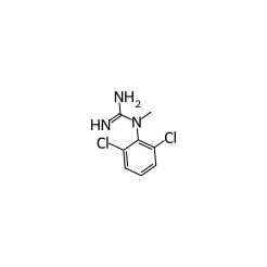 CN(C(=N)N)c1c(Cl)cccc1Cl